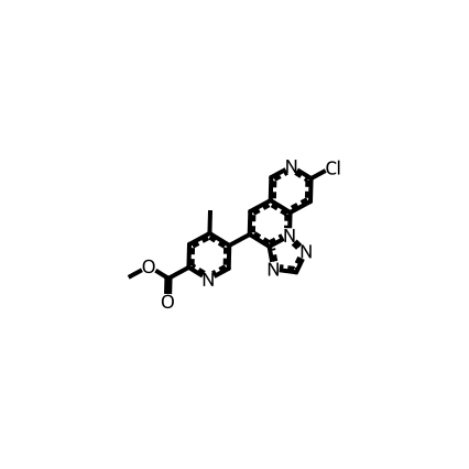 COC(=O)c1cc(C)c(-c2cc3cnc(Cl)cc3n3ncnc23)cn1